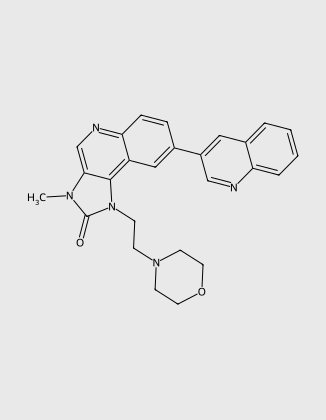 Cn1c(=O)n(CCN2CCOCC2)c2c3cc(-c4cnc5ccccc5c4)ccc3ncc21